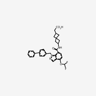 O=C(O)CC1CC2(C1)CC(NC(=O)c1ccc(OC(F)F)c3cnn(Cc4ccc(-c5ccccc5)cc4)c13)C2